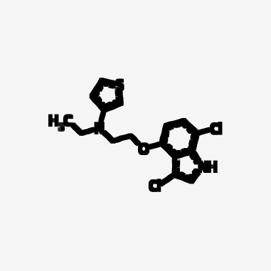 CCN(CCOc1ccc(Cl)c2[nH]cc(Cl)c12)c1ccsc1